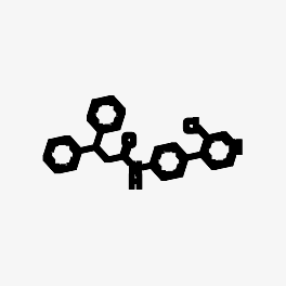 O=C(CC(c1ccccc1)c1ccccc1)Nc1ccc(-c2ccncc2Cl)cc1